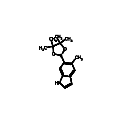 Cc1cc2cc[nH]c2cc1B1OC(C)(C)C(C)(C)O1